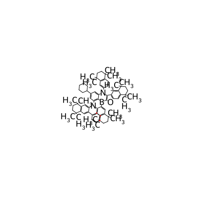 CC1(C)CCC(C)(C)c2cc(N3c4cc(C5CCCCC5)cc5c4B(c4cc6c(cc4N5c4cc5c(cc4-c4ccccc4)C(C)(C)CCC5(C)C)C(C)(C)CCC6(C)C)c4oc5cc6c(cc5c43)C(C)(C)CCC6(C)C)ccc21